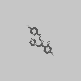 Clc1ccc(SCOC(=Cn2ccnc2)c2ccc(Cl)cc2Cl)nc1